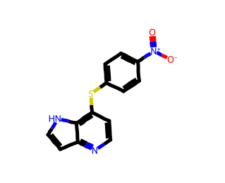 O=[N+]([O-])c1ccc(Sc2ccnc3cc[nH]c23)cc1